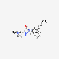 CCCCCc1ccc(C[C@@H](NC=O)NCCCN(C)C)c2ccccc12